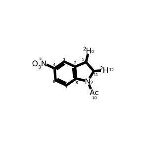 [2H]C1c2cc([N+](=O)[O-])ccc2N(C(C)=O)C1[2H]